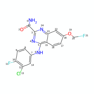 NC(=O)c1nc(Nc2ccc(F)c(Cl)c2)c2c[c]c(OCF)cc2n1